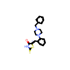 O=C1NC(=S)S/C1=C\c1ccccc1N1CCN(Cc2ccccc2)CC1